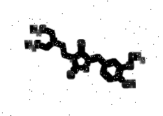 CCN(CC)CCN1C(=O)S/C(=C\c2ccc(O)c(OC)c2)C1=O